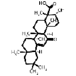 CC1(C)CC[C@]2(C)CC[C@]3(C)C(=CC(=O)[C@@H]4[C@@]5(C)CC[C@@H](O)C(C)(C(=O)O)C5CC[C@]43C)[C@H]2C1